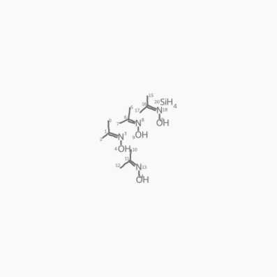 CC(C)=NO.CC(C)=NO.CC(C)=NO.CC(C)=NO.[SiH4]